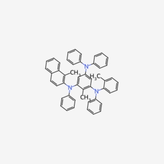 Cc1ccccc1N(c1ccccc1)c1cc(N(c2ccccc2)c2ccccc2)cc(N(c2ccccc2)c2ccc3ccccc3c2C)c1C